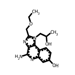 CCOCc1nc2c(N)nc3cc(O)ccc3c2n1CC(C)O